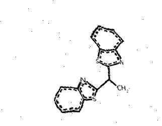 [CH2]C(c1nc2ccccc2s1)c1nc2ccccc2s1